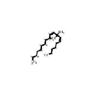 BC(B)(/C=C\CCCCC)/C=C\CCCCCCCCC